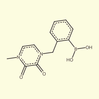 Cn1ccn(Cc2ccccc2B(O)O)c(=O)c1=O